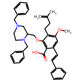 C=C(C)CCc1c(OC)cc(C=Cc2ccccc2)c(C(=O)O)c1OCC1CN(Cc2ccccc2)CCN1Cc1ccccc1